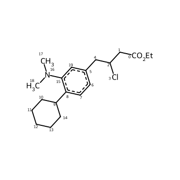 CCOC(=O)CC(Cl)Cc1ccc(C2CCCCC2)c(N(C)C)c1